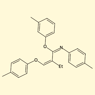 CCC(=COc1ccc(C)cc1)C(=Nc1ccc(C)cc1)Oc1cccc(C)c1